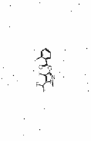 Cc1ccccc1C(=O)Oc1nn(C)c(C(F)F)c1I